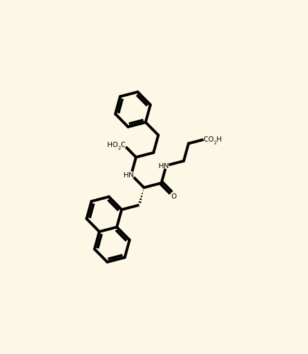 O=C(O)CCNC(=O)[C@H](Cc1cccc2ccccc12)NC(CCc1ccccc1)C(=O)O